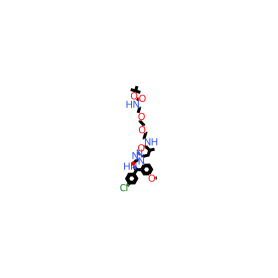 COc1ccc(-n2c(C)nnc2CC(C)C(=O)NCCOCCOCCNC(=O)OC(C)(C)C)c(C(=N)c2ccc(Cl)cc2)c1